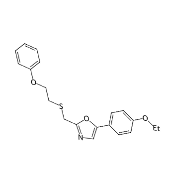 [CH2]COc1ccc(-c2cnc(CSCCOc3ccccc3)o2)cc1